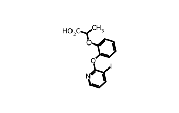 CC(Oc1ccccc1Oc1ncccc1I)C(=O)O